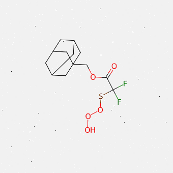 O=C(OCC12CC3CC(CC(C3)C1)C2)C(F)(F)SOOO